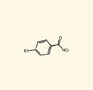 CCc1ccc(C(=O)N=O)cc1